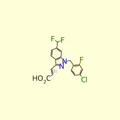 O=C(O)/C=C/c1nn(Cc2ccc(Cl)cc2F)c2cc(C(F)F)ccc12